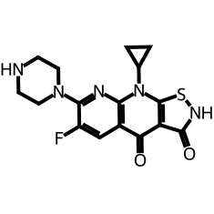 O=c1[nH]sc2c1c(=O)c1cc(F)c(N3CCNCC3)nc1n2C1CC1